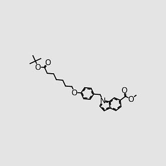 COC(=O)c1ccc2ccn(Cc3ccc(OCCCCCCC(=O)OC(C)(C)C)cc3)c2c1